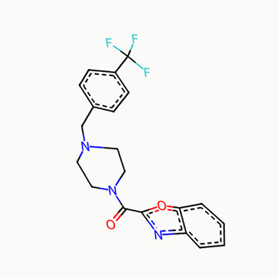 O=C(c1nc2ccccc2o1)N1CCN(Cc2ccc(C(F)(F)F)cc2)CC1